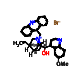 C=C[C@H]1C[N+]2(Cc3c4ccccc4nc4ccccc34)CC[C@H]1C[C@H]2[C@H](O)c1ccnc2ccc(OC)cc12.[Br-]